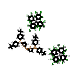 CC(C)(C)c1ccc([S+](c2ccc(C(C)(C)C)cc2)c2ccc(Sc3ccc([S+](c4ccc(C(C)(C)C)cc4)c4ccc(C(C)(C)C)cc4)s3)s2)cc1.Fc1c(F)c(F)c([B-](c2c(F)c(F)c(F)c(F)c2F)(c2c(F)c(F)c(F)c(F)c2F)c2c(F)c(F)c(F)c(F)c2F)c(F)c1F.Fc1c(F)c(F)c([B-](c2c(F)c(F)c(F)c(F)c2F)(c2c(F)c(F)c(F)c(F)c2F)c2c(F)c(F)c(F)c(F)c2F)c(F)c1F